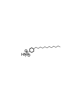 CCCCCCCCCCCCc1ccc(S(=O)(=O)NC)cc1